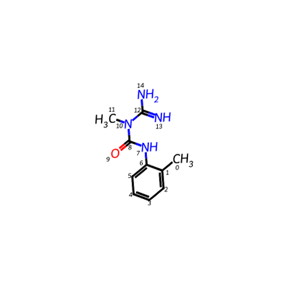 Cc1ccccc1NC(=O)N(C)C(=N)N